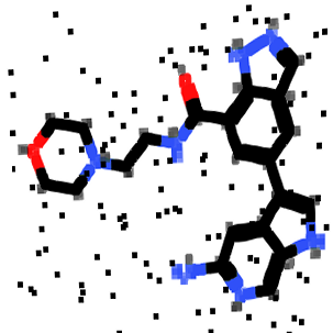 Nc1cc2c(-c3cc(C(=O)NCCN4CCOCC4)c4[nH]ncc4c3)c[nH]c2cn1